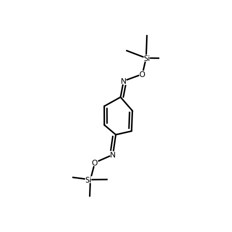 C[Si](C)(C)ON=C1C=CC(=NO[Si](C)(C)C)C=C1